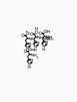 COC(=O)C(N)Cc1c[nH]cn1.Cl.Cl.NC(Cc1c[nH]cn1)C(=O)O.NC(Cc1c[nH]cn1)C(=O)O.NC(Cc1c[nH]cn1)C(=O)O